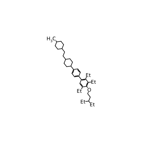 CCc1cc(-c2ccc(C3CCC(CCC4CCC(C)CC4)CC3)cc2)c(CC)c(CC)c1OCCC(CC)CC